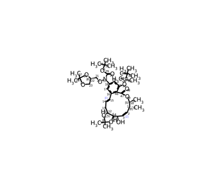 C[C@@H]1/C=C\C(O)[C@H]2OC(C)(C)O[C@H]2C/C=C/c2cc(N(OC[C@H]3COC(C)(C)O3)C(=O)OC(C)(C)C)cc(O[Si](C)(C)C(C)(C)C)c2C(=O)O[C@H]1C